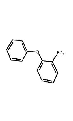 Bc1ccccc1Oc1ccccc1